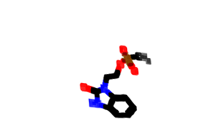 CS(=O)(=O)OCCn1c(=O)[nH]c2ccccc21